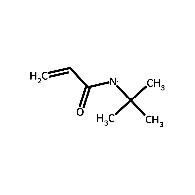 C=CC(=O)[N]C(C)(C)C